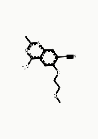 COCCOc1cc2c(N)nc(C)nc2cc1C#N